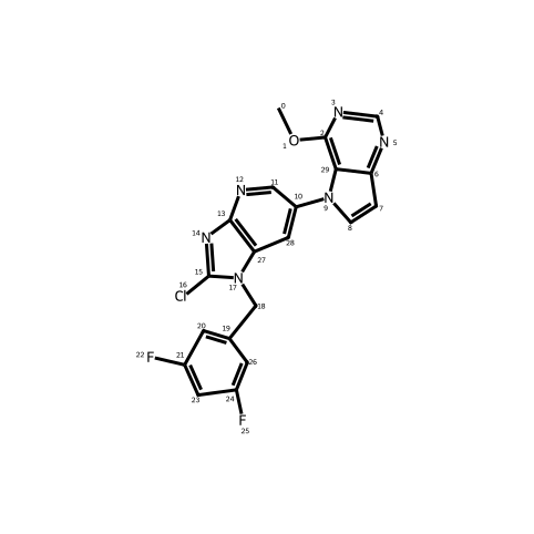 COc1ncnc2ccn(-c3cnc4nc(Cl)n(Cc5cc(F)cc(F)c5)c4c3)c12